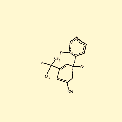 N#CC1=CC(C(F)(C(F)(F)F)C(F)(F)F)=CC(Br)(c2ccccc2F)[CH]1